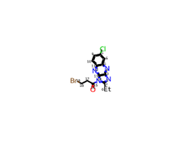 CCc1nc2nc3cc(Cl)ccc3nc2n1C(=O)CCBr